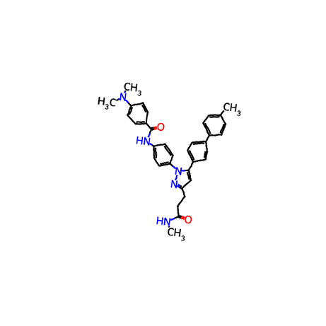 CNC(=O)CCc1cc(-c2ccc(-c3ccc(C)cc3)cc2)n(-c2ccc(NC(=O)c3ccc(N(C)C)cc3)cc2)n1